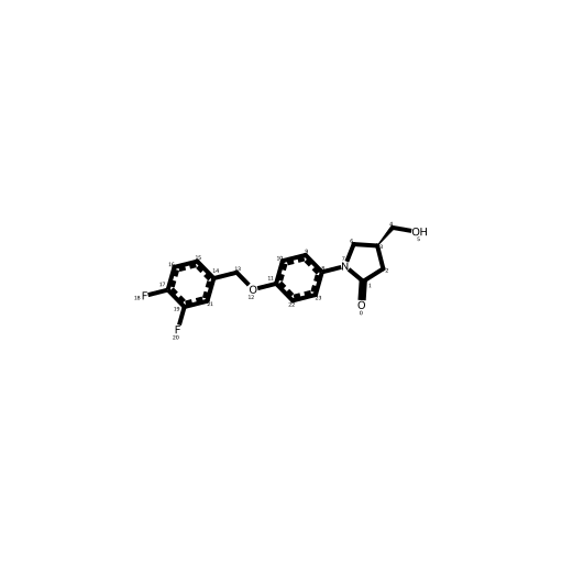 O=C1C[C@H](CO)CN1c1ccc(OCc2ccc(F)c(F)c2)cc1